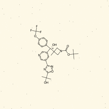 CC(C)(C)OC(=O)N1CC(C)([C@](O)(c2ccc(OC(F)(F)F)cc2)c2cncc(-c3noc(C(C)(C)O)n3)c2)C1